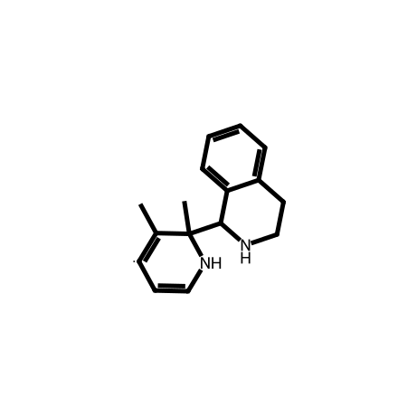 CC1=[C]C=CNC1(C)C1NCCc2ccccc21